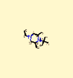 CCN1CC(C)N(C(C)(C)C)C(C)C1